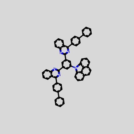 c1ccc(-c2ccc(-c3nc(-c4cc(-c5nc(-c6ccc(-c7ccccc7)cc6)c6ccccc6n5)cc(-n5c6cccc7ccc8cccc5c8c76)c4)nc4ccccc34)cc2)cc1